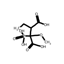 CCC(C(=O)O)C(OC)(C(=O)O)P(=O)(O)O